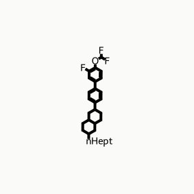 CCCCCCCC1CCC2CC(c3ccc(-c4ccc(OC(F)F)c(F)c4)cc3)CCC2C1